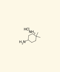 CC1(C)CCC(N)CC1.Cl.N